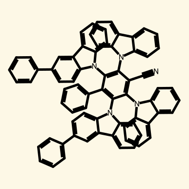 N#Cc1c(-n2c3ccccc3c3ccccc32)c(-n2c3ccccc3c3cc(-c4ccccc4)ccc32)c(-c2ccccc2)c(-n2c3ccccc3c3cc(-c4ccccc4)ccc32)c1-n1c2ccccc2c2ccccc21